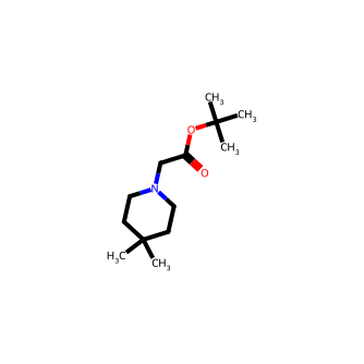 CC1(C)CCN(CC(=O)OC(C)(C)C)CC1